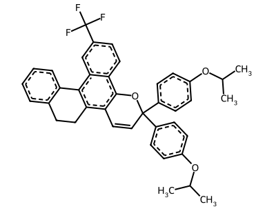 CC(C)Oc1ccc(C2(c3ccc(OC(C)C)cc3)C=Cc3c4c(c5cc(C(F)(F)F)ccc5c3O2)-c2ccccc2CC4)cc1